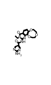 CCn1c(NC(=O)c2cnc(N)nc2)nc2c3c(ccc2c1=O)OCCOCCO3